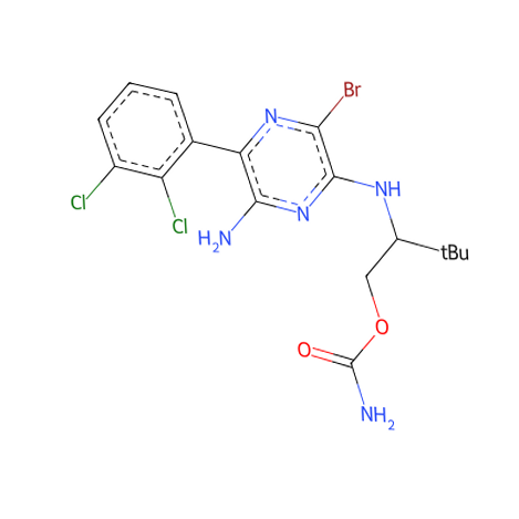 CC(C)(C)C(COC(N)=O)Nc1nc(N)c(-c2cccc(Cl)c2Cl)nc1Br